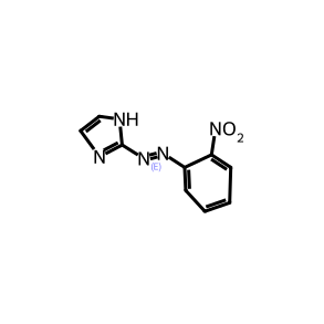 O=[N+]([O-])c1ccccc1/N=N/c1ncc[nH]1